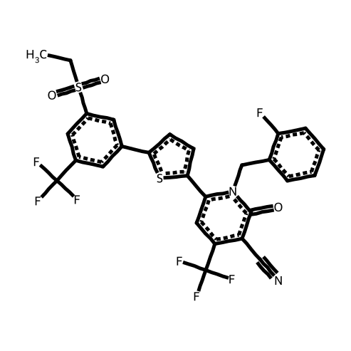 CCS(=O)(=O)c1cc(-c2ccc(-c3cc(C(F)(F)F)c(C#N)c(=O)n3Cc3ccccc3F)s2)cc(C(F)(F)F)c1